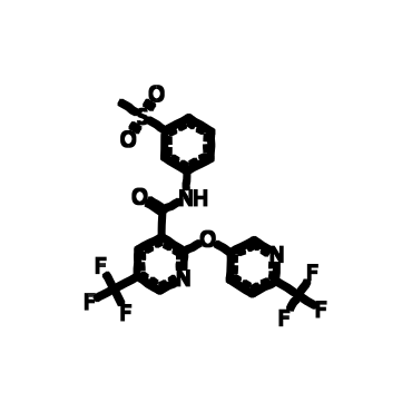 CS(=O)(=O)c1cccc(NC(=O)c2cc(C(F)(F)F)cnc2Oc2ccc(C(F)(F)F)nc2)c1